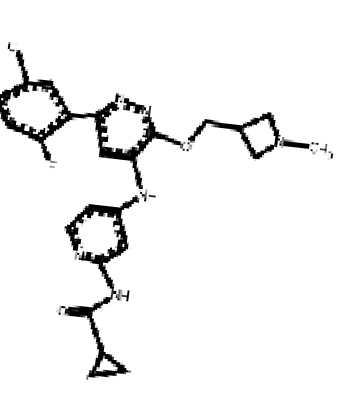 CN1CC(COc2nnc(-c3cc(Cl)ccc3F)cc2Nc2ccnc(NC(=O)C3CC3)c2)C1